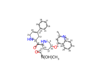 Cc1cc(O[C@@H]2CN[C@H](C(=O)C3CC(c4ccccc4)=CCN3)[C@@H](C(=O)N(C)O)C2)c2ccccc2n1